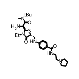 CCN1C(=O)[C@@H](CNc2ccc(C(=O)NCCN3CCCC3)cc2)S/C1=C(/N)C(=O)N(C)C(C)(C)C